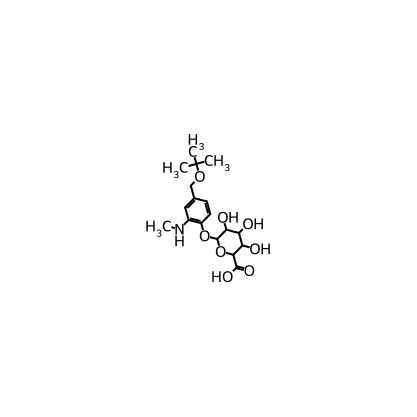 CNc1cc(COC(C)(C)C)ccc1OC1OC(C(=O)O)C(O)C(O)C1O